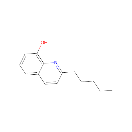 CCCCCc1ccc2cccc(O)c2n1